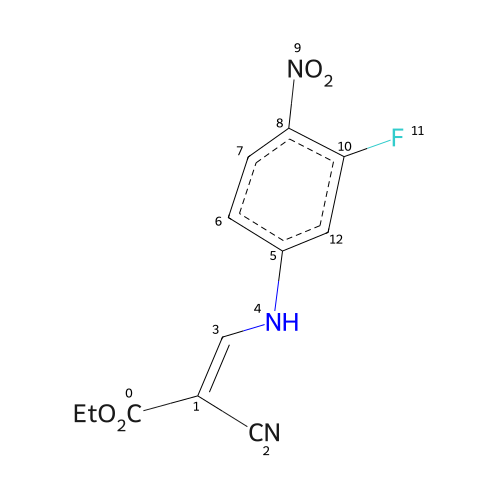 CCOC(=O)/C(C#N)=C/Nc1ccc([N+](=O)[O-])c(F)c1